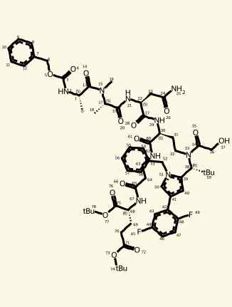 C[C@H](NC(=O)OCc1ccccc1)C(=O)N(C)[C@@H](C)C(=O)N[C@@H](CC(N)=O)C(=O)N[C@@H](CCN(C(=O)CO)[C@@H](c1cc(-c2cc(F)ccc2F)cn1Cc1ccccc1)C(C)(C)C)C(=O)NCCC(=O)N[C@H](CCC(=O)OC(C)(C)C)C(=O)OC(C)(C)C